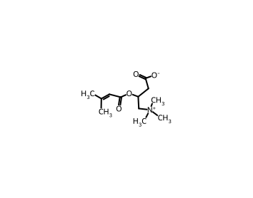 CC(C)=CC(=O)OC(CC(=O)[O-])C[N+](C)(C)C